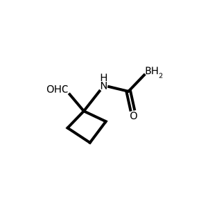 BC(=O)NC1(C=O)CCC1